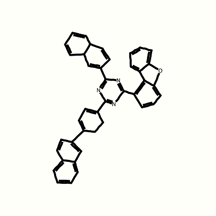 C1=CC2C=CC(c3nc(C4=CC=C(c5ccc6ccccc6c5)CC4)nc(-c4cccc5oc6ccccc6c45)n3)=CC2C=C1